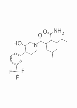 CCCC(C(N)=O)C(CC(C)C)C(=O)N1CCC(c2cccc(C(F)(F)F)c2)C(O)C1